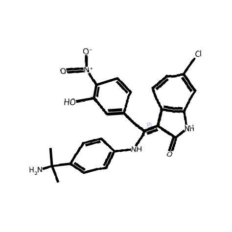 CC(C)(N)c1ccc(N/C(=C2\C(=O)Nc3cc(Cl)ccc32)c2ccc([N+](=O)[O-])c(O)c2)cc1